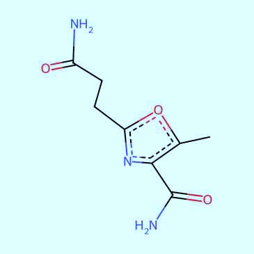 Cc1oc(CCC(N)=O)nc1C(N)=O